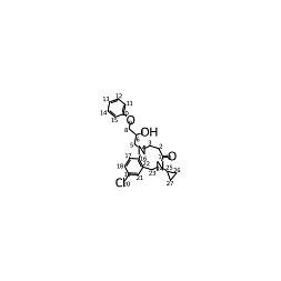 O=C1CCN(CC(O)COc2ccccc2)c2ccc(Cl)cc2CN1C1CC1